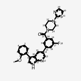 COc1ccccc1-c1c[nH]c2ncc(-c3cc(F)cc(C(=O)N4CCN(c5nccs5)CC4)c3)cc12